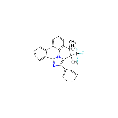 CC1(C)c2cccc3c4ccccc4c4nc(-c5ccccc5)c(n4c23)C1(C)C(F)(F)F